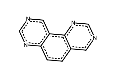 c1ncc2c(ccc3cncnc32)n1